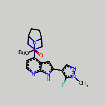 CC(C)COC(=O)N1C2CCC1CN(c1ccnc3[nH]c(-c4cnn(C)c4F)cc13)C2